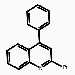 CC(C)c1cc(-c2ccccc2)c2ccccc2n1